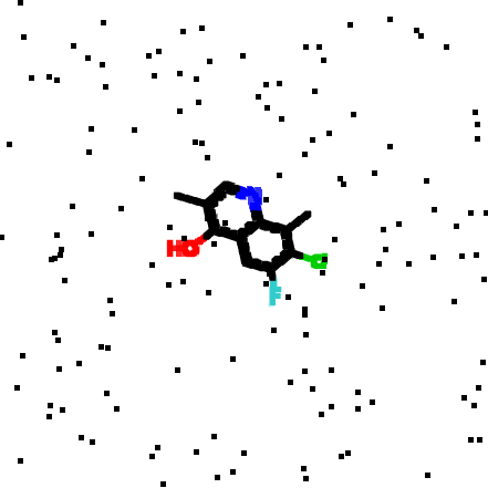 Cc1cnc2c(C)c(Cl)c(F)cc2c1O